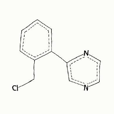 ClCc1ccccc1-c1cnccn1